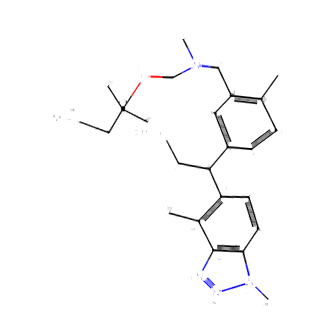 CCOC(=O)CC(c1ccc(C)c(CN(C)COC(C)(C)COC)c1)c1ccc2c(nnn2C)c1C